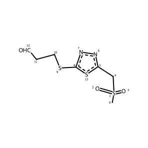 CS(=O)(=O)Cc1nnc(SCCC=O)s1